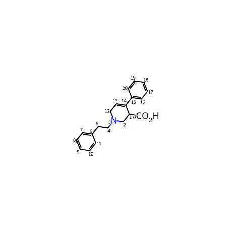 O=C(O)C1CN(CCc2ccccc2)CC=C1c1ccccc1